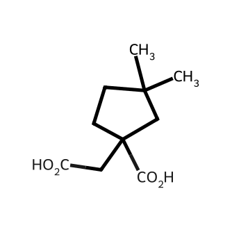 CC1(C)CCC(CC(=O)O)(C(=O)O)C1